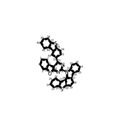 c1ccc2c(c1)oc1nc(-n3c4ccccc4c4ccc5sc6ccccc6c5c43)nc(-c3ccc4sc5ccccc5c4c3)c12